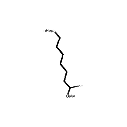 CCCCCCCCCCCCCC(OC)C(C)=O